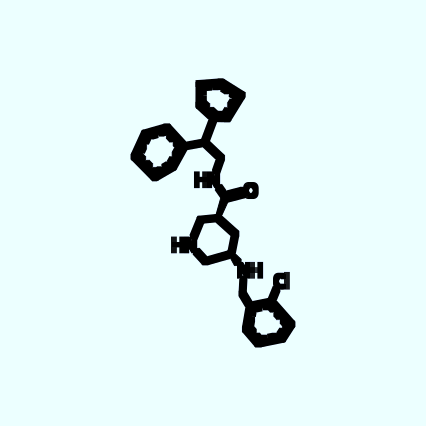 O=C(NCC(c1ccccc1)c1ccccc1)[C@@H]1CNC[C@H](NCc2ccccc2Cl)C1